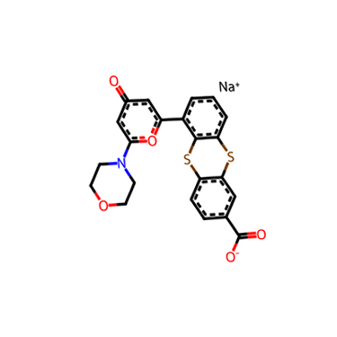 O=C([O-])c1ccc2c(c1)Sc1cccc(-c3cc(=O)cc(N4CCOCC4)o3)c1S2.[Na+]